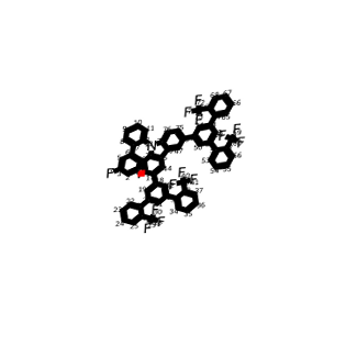 Fc1cc(F)cc(-c2ccccc2-n2c3ccc(-c4cc(-c5ccccc5C(F)(F)F)cc(-c5ccccc5C(F)(F)F)c4)cc3c3cc(-c4cc(-c5ccccc5C(F)(F)F)cc(-c5ccccc5C(F)(F)F)c4)ccc32)c1